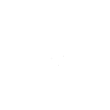 c1ccc2c(c1)-c1cc3ccccc3cc1CCC2c1c(-c2nc(-c3cccc4ccccc34)nc(-c3cc4ccccc4c4ccccc34)n2)ccc2oc3ccccc3c12